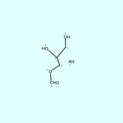 O=COCC(O)CO.[KH]